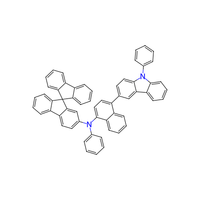 c1ccc(N(c2ccc3c(c2)C2(c4ccccc4-c4ccccc42)c2ccccc2-3)c2ccc(-c3ccc4c(c3)c3ccccc3n4-c3ccccc3)c3ccccc23)cc1